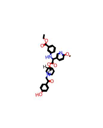 CCOC(=O)c1cccc(NC(C(=O)O[C@H]2C[N+]3(CC(=O)c4ccc(O)cc4)CCC2CC3)c2ccc(OC)nc2)c1